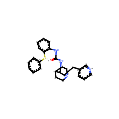 O=C(Nc1ccccc1Sc1ccccc1)NC1C2CCN(CC2)C1Cc1cccnc1